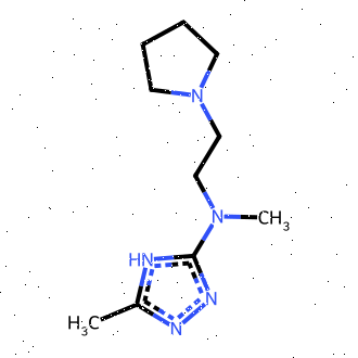 Cc1nnc(N(C)CCN2CCCC2)[nH]1